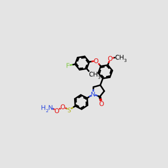 COc1ccc(C2CC(=O)N(c3ccc(SOON)cc3)C2)cc1Oc1ccc(F)cc1C